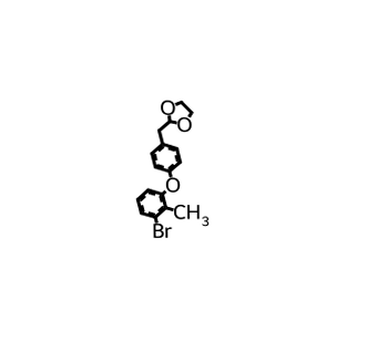 Cc1c(Br)cccc1Oc1ccc(CC2OCCO2)cc1